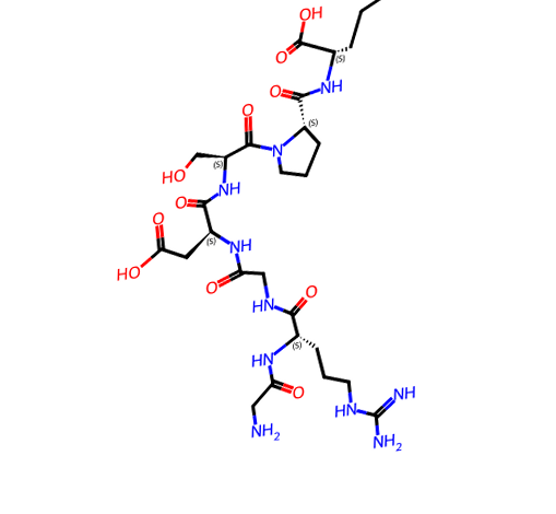 N=C(N)NCCC[C@H](NC(=O)CN)C(=O)NCC(=O)N[C@@H](CC(=O)O)C(=O)N[C@@H](CO)C(=O)N1CCC[C@H]1C(=O)N[C@@H](CCCCN)C(=O)O